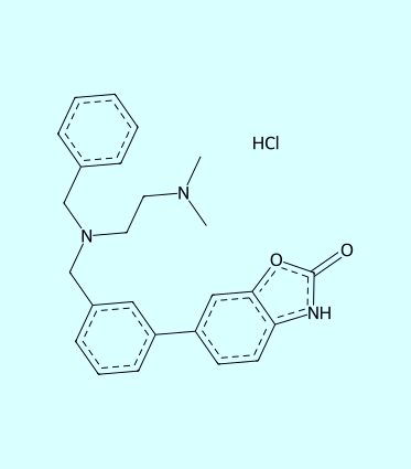 CN(C)CCN(Cc1ccccc1)Cc1cccc(-c2ccc3[nH]c(=O)oc3c2)c1.Cl